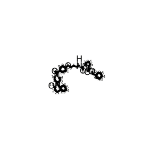 O=C(NCCCOc1ccc(C(=O)N2CCC(N3C(=O)CCc4ccccc43)CC2)cc1)[C@H]1CCCN1C(=O)OCc1ccccc1